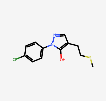 CSCCc1cnn(-c2ccc(Cl)cc2)c1O